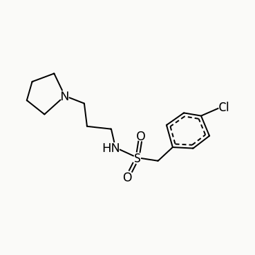 O=S(=O)(Cc1ccc(Cl)cc1)NCCCN1CCCC1